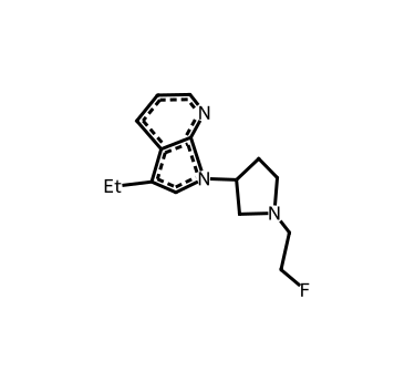 CCc1cn(C2CCN(CCF)C2)c2ncccc12